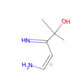 CC(C)(O)C(=N)/C=C\N